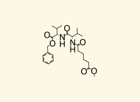 COC(=O)CCCCC(=O)N[C@H](C(=O)N[C@H](C(=O)OCc1ccccc1)C(C)C)C(C)C